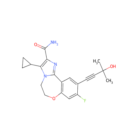 CC(C)(O)C#Cc1cc2c(cc1F)OCCn1c-2nc(C(N)=O)c1C1CC1